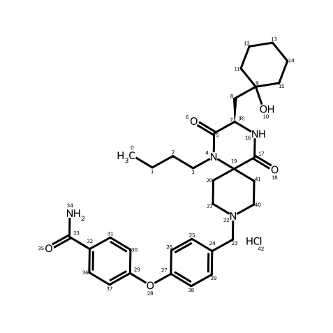 CCCCN1C(=O)[C@@H](CC2(O)CCCCC2)NC(=O)C12CCN(Cc1ccc(Oc3ccc(C(N)=O)cc3)cc1)CC2.Cl